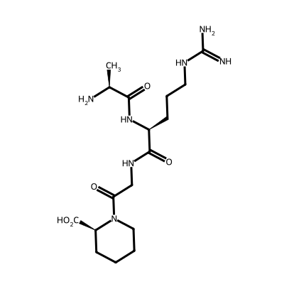 C[C@H](N)C(=O)N[C@@H](CCCNC(=N)N)C(=O)NCC(=O)N1CCCC[C@H]1C(=O)O